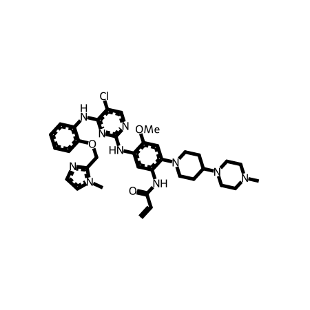 C=CC(=O)Nc1cc(Nc2ncc(Cl)c(Nc3ccccc3OCc3nccn3C)n2)c(OC)cc1N1CCC(N2CCN(C)CC2)CC1